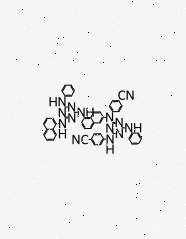 N#Cc1ccc(Nc2nc(Nc3ccccc3)nc(N(c3ccc(C#N)cc3)c3ccc4c(Nc5nc(Nc6ccccc6)nc(Nc6cccc7ccccc67)n5)cccc4c3)n2)cc1